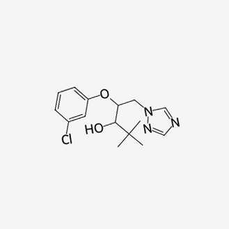 CC(C)(C)C(O)C(Cn1cncn1)Oc1cccc(Cl)c1